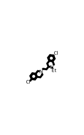 CCN1Cc2cc(Cl)ccc2CC1CCN1CCc2cc(Cl)ccc2C1